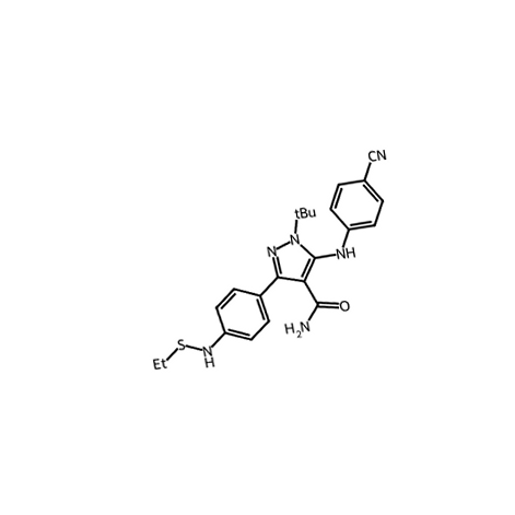 CCSNc1ccc(-c2nn(C(C)(C)C)c(Nc3ccc(C#N)cc3)c2C(N)=O)cc1